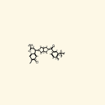 Cc1ccc(C(CC(N)=O)N2CC3CN(C(=O)c4ccc(F)c(C(F)(F)F)c4)CC3C2)cc1Cl